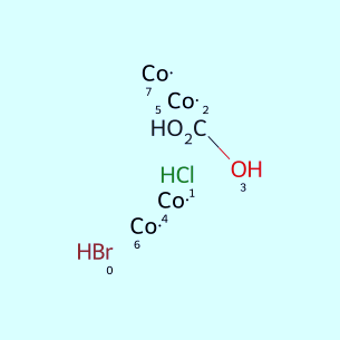 Br.Cl.O=C(O)O.[Co].[Co].[Co].[Co]